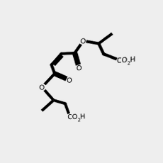 CC(CC(=O)O)OC(=O)/C=C\C(=O)OC(C)CC(=O)O